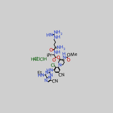 CCNc1nc(Nc2cc(C#N)cc(N3CC[C@@H](NC(=O)OC)[C@H](OC(=O)C(NC(=O)[C@@H](N)CCCNC(=N)N)C(C)C)C3)c2Cl)nn2c(C#N)cnc12.Cl.Cl.Cl